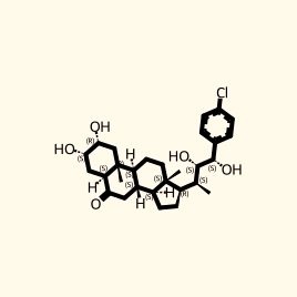 C[C@H]([C@H](O)[C@@H](O)c1ccc(Cl)cc1)[C@H]1CC[C@H]2[C@@H]3CC(=O)[C@H]4C[C@H](O)[C@H](O)C[C@]4(C)[C@H]3CC[C@]12C